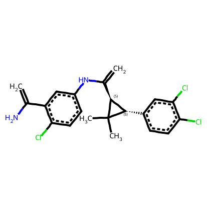 C=C(N)c1cc(NC(=C)[C@H]2[C@H](c3ccc(Cl)c(Cl)c3)C2(C)C)ccc1Cl